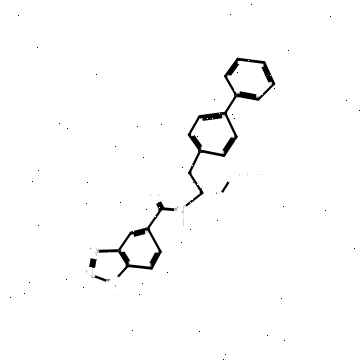 O=C(O)C[C@@H](Cc1ccc(-c2ccccc2)cc1)NC(=O)c1ccc2[nH]nnc2c1